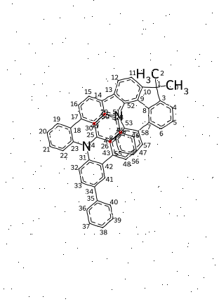 CC1(C)c2cccc3c2-c2c1ccc1c4ccc(-c5ccccc5N(c5ccccc5)c5ccc(-c6ccccc6)cc5-c5ccccc5)cc4n(c21)-c1ccccc1-3